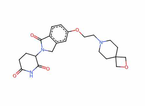 O=C1CCC(N2Cc3cc(OCCN4CCC5(CC4)COC5)ccc3C2=O)C(=O)N1